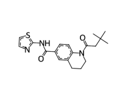 CC(C)(C)CC(=O)N1CCCc2cc(C(=O)Nc3nccs3)ccc21